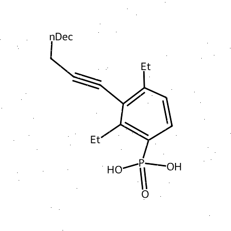 CCCCCCCCCCCC#Cc1c(CC)ccc(P(=O)(O)O)c1CC